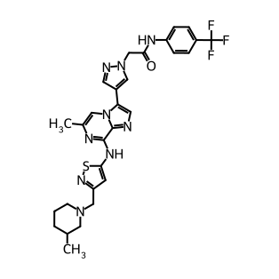 Cc1cn2c(-c3cnn(CC(=O)Nc4ccc(C(F)(F)F)cc4)c3)cnc2c(Nc2cc(CN3CCCC(C)C3)ns2)n1